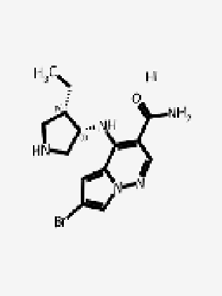 CC[C@H]1CNC[C@H]1Nc1c(C(N)=O)cnn2cc(Br)cc12.I